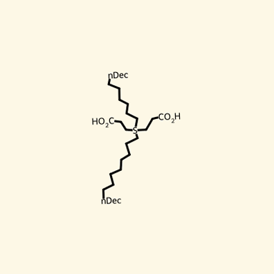 CCCCCCCCCCCCCCCCCCS(CCCCCCCCCCCCCCCC)(CCC(=O)O)CCC(=O)O